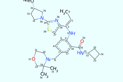 CC=C(Nc1ccc(CN2CCOCC2(C)C)cc1C(=O)NC1CCC1)c1csc(N2CC[C@H](OC)C2)n1